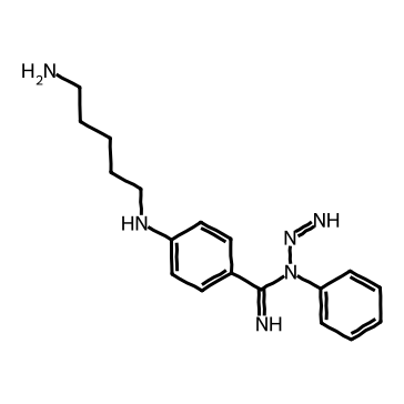 N=NN(C(=N)c1ccc(NCCCCCN)cc1)c1ccccc1